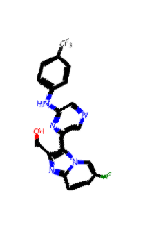 OCc1nc2ccc(F)cn2c1-c1cncc(Nc2ccc(C(F)(F)F)cc2)n1